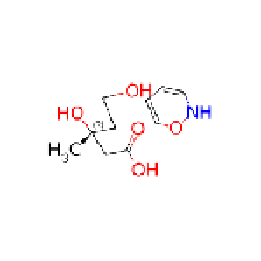 C1=CNOC=C1.C[C@@](O)(CCO)CC(=O)O